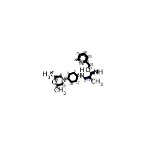 C/C(=C/N[C@H]1CC[C@H](N2C[C@@H](C)O[C@@H](C)C2)CC1)C(=N)OCc1ccccn1